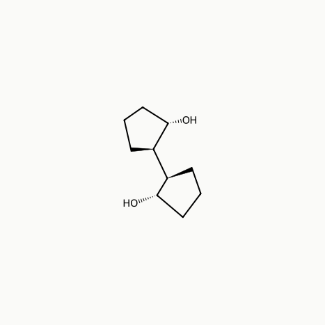 O[C@H]1CCC[C@@H]1[C@H]1CCC[C@@H]1O